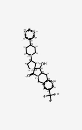 O=C1N2Cc3cc(C(F)(F)F)cnc3CC2C(O)[C@@]12CCC(N1CCC(c3cncnc3)CC1)C2